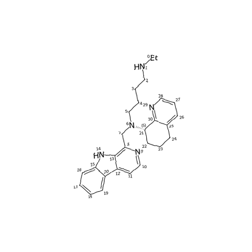 CCNCCCCN(Cc1nccc2c1[nH]c1ccccc12)[C@H]1CCCc2cccnc21